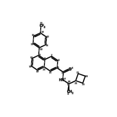 C[C@@H](NC(=O)c1ccc2c(-c3ccc(C(F)(F)F)cc3)cccc2c1)C1CCC1